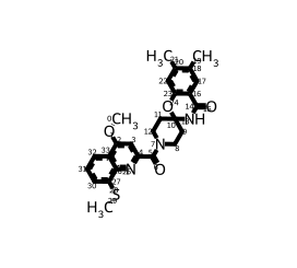 COc1cc(C(=O)N2CCC3(CC2)NC(=O)c2cc(C)c(C)cc2O3)nc2c(SC)cccc12